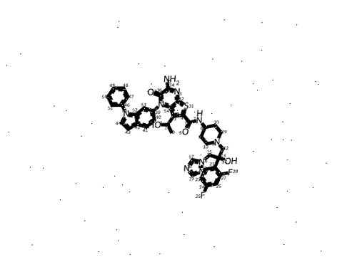 CC(O)c1c(C(=O)NC2CCN(CC(O)(Cn3cncn3)c3ccc(F)cc3F)CC2)sc2nc(N)c(=O)n(-c3ccc4ccn(-c5ccccc5)c4c3)c12